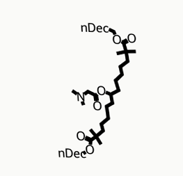 CCCCCCCCCCCOC(=O)C(C)(C)CCCCCC(CCCCCC(C)(C)C(=O)OCCCCCCCCCC)OC(=O)CN(C)C